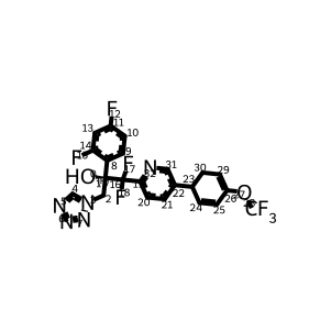 O[C@@](Cn1cnnn1)(c1ccc(F)cc1F)C(F)(F)c1ccc(C2C=CC(OC(F)(F)F)=CC2)cn1